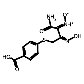 NC(=O)C(=[NH+]\[O-])/C(CSc1ccc(C(=O)O)cc1)=N\O